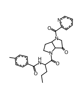 CCCC(NC(=O)c1ccc(C)cc1)C(=O)N1CCC2C1C(=O)CN2C(=O)c1ccccn1